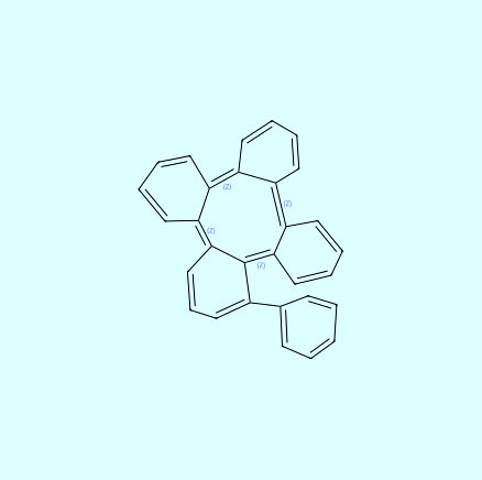 c1ccc(-c2cccc3/c2=c2/cccc/c2=c2\cccc\c2=c2/cccc/c2=3)cc1